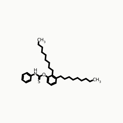 CCCCCCCCCc1cccc(OC(=S)Nc2ccccc2)c1CCCCCCCCC